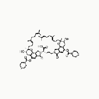 CC(C)=CCC/C(C)=C/CC[C@@]1(C)Oc2c(c(OC(=O)N3CCSCC3)cc3c2CN(CCC[C@@H](C(=O)O)N2Cc4c(cc(OC(=O)N5CCSCC5)c5c4O[C@](C)(CC/C=C(\C)CCC=C(C)C)[C@@H](O)C5)C2=O)C3=O)C[C@@H]1O